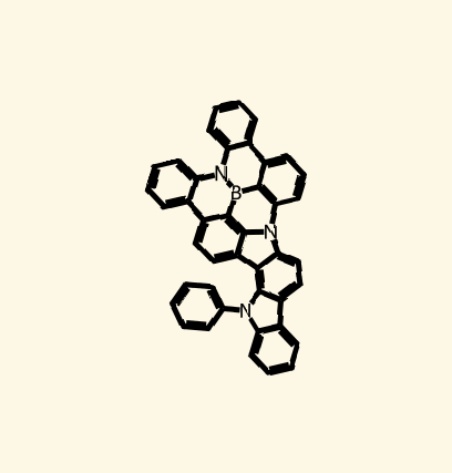 c1ccc(-n2c3ccccc3c3ccc4c(c5ccc6c7c5n4-c4cccc5c4B7N(c4ccccc4-5)c4ccccc4-6)c32)cc1